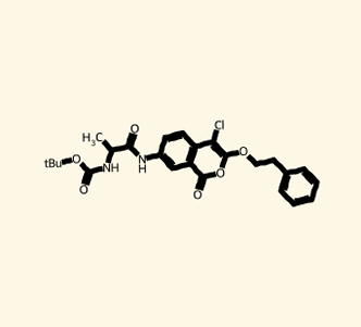 CC(NC(=O)OC(C)(C)C)C(=O)Nc1ccc2c(Cl)c(OCCc3ccccc3)oc(=O)c2c1